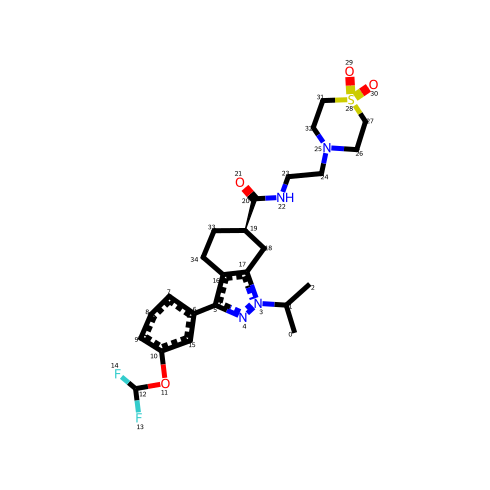 CC(C)n1nc(-c2cccc(OC(F)F)c2)c2c1C[C@H](C(=O)NCCN1CCS(=O)(=O)CC1)CC2